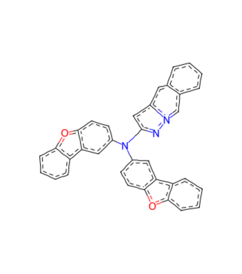 c1ccc2cn3nc(N(c4ccc5oc6ccccc6c5c4)c4ccc5oc6ccccc6c5c4)cc3cc2c1